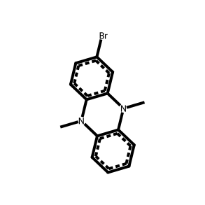 CN1c2ccccc2N(C)c2cc(Br)ccc21